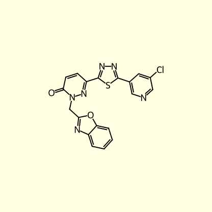 O=c1ccc(-c2nnc(-c3cncc(Cl)c3)s2)nn1Cc1nc2ccccc2o1